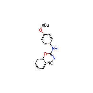 CCCCOc1ccc(N/C(=N/C#N)Oc2ccccc2)cc1